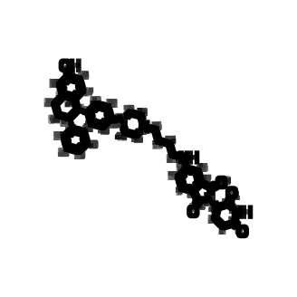 O=C1CCC(N2C(=O)c3ccc(NCCCCN4CCN(c5ccc([C@@H]6c7ccc(O)cc7CC[C@@H]6c6ccccc6)cc5)CC4)cc3C2=O)C(=O)N1